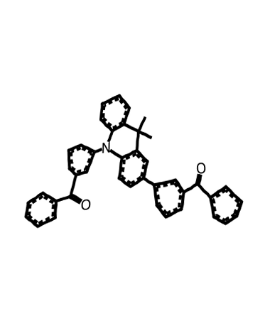 CC1(C)c2ccccc2N(c2cccc(C(=O)c3ccccc3)c2)c2ccc(-c3cccc(C(=O)c4ccccc4)c3)cc21